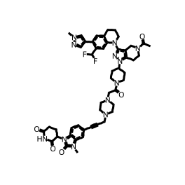 CC(=O)N1CCc2c(c(N3CCCc4cc(-c5cnn(C)c5)c(C(F)F)cc43)nn2C2CCN(C(=O)CN3CCN(CC#Cc4ccc5c(c4)n(C)c(=O)n5C4CCC(=O)NC4=O)CC3)CC2)C1